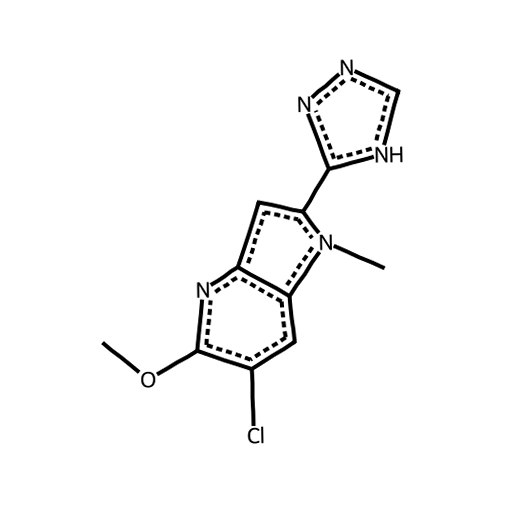 COc1nc2cc(-c3nnc[nH]3)n(C)c2cc1Cl